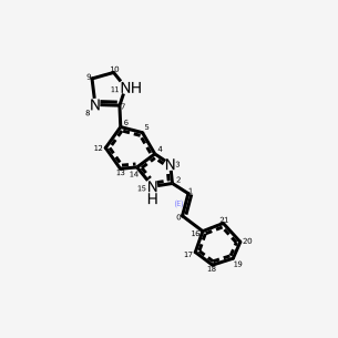 C(=C\c1nc2cc(C3=NCCN3)ccc2[nH]1)/c1ccccc1